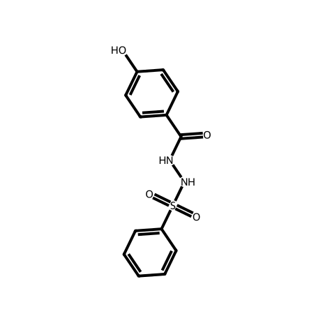 O=C(NNS(=O)(=O)c1ccccc1)c1ccc(O)cc1